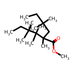 CCC(C)(C)CC(C)(C(=O)OC)C(C)(C)C(C)(C)CC